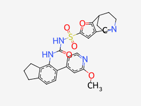 COc1cc(-c2ccc3c(c2NC(=O)NS(=O)(=O)c2cc4c(o2)C2CCN(CC2)C4)CCC3)ccn1